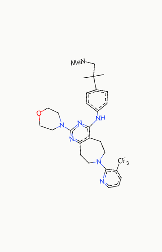 CNCC(C)(C)c1ccc(Nc2nc(N3CCOCC3)nc3c2CCN(c2ncccc2C(F)(F)F)CC3)cc1